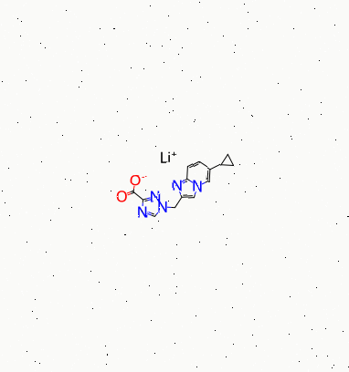 O=C([O-])c1ncn(Cc2cn3cc(C4CC4)ccc3n2)n1.[Li+]